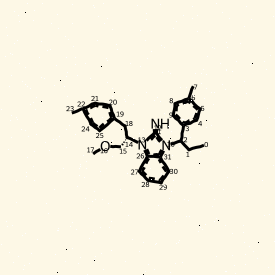 CCC(c1ccc(C)cc1)n1c(=N)n([C@H](COC)Cc2ccc(C)cc2)c2ccccc21